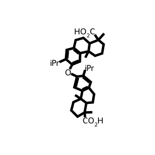 CC(C)c1cc2c(cc1Oc1cc3c(cc1C(C)C)CCC1C(C)(C(=O)O)CCCC31C)C1(C)CCCC(C)(C(=O)O)C1CC2